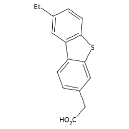 CCc1ccc2sc3cc(CC(=O)O)ccc3c2c1